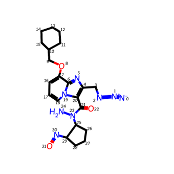 [N-]=[N+]=NCc1nc2c(OCC3CCCCC3)cccn2c1C(=O)N(N)C1CCCC1N=O